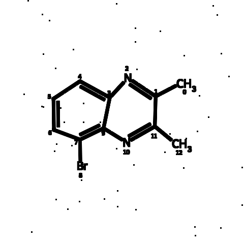 Cc1nc2cccc(Br)c2nc1C